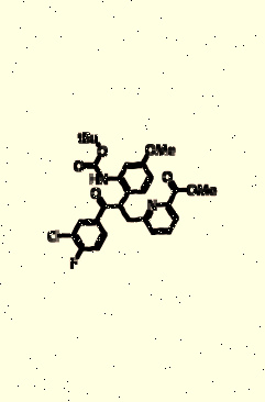 COC(=O)c1cccc(CC(C(=O)c2ccc(F)c(Cl)c2)c2ccc(OC)cc2NC(=O)OC(C)(C)C)n1